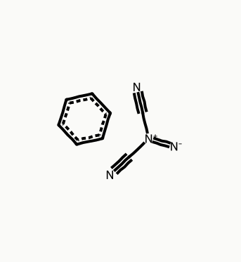 N#C[N+](=[N-])C#N.c1ccccc1